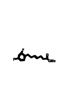 COC(=O)CCC=CCCc1ccc(F)cc1F